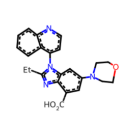 CCc1nc2c(C(=O)O)cc(N3CCOCC3)cc2n1-c1ccnc2ccccc12